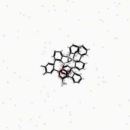 Cc1cc2c(cc1C)-c1ccc3c4ccccc4n4c3c1[N+]1(c3c-2cccc3[N+]23c5ccccc5[N+]2(c2c(-c5ccccc5)cccc2-c2ccccc2)C13)[n+]1ccc(C(C)(C)C)cc1-4